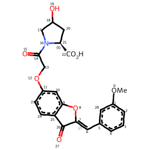 COc1cccc(/C=C2\Oc3cc(OCC(=O)N4CC(O)C[C@H]4C(=O)O)ccc3C2=O)c1